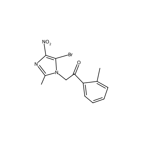 Cc1ccccc1C(=O)Cn1c(C)nc([N+](=O)[O-])c1Br